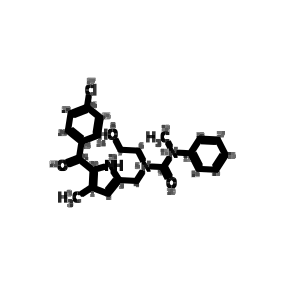 Cc1cc(CN(CCO)C(=O)N(C)c2ccccc2)[nH]c1C(=O)c1ccc(Cl)cc1